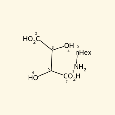 CCCCCCN.O=C(O)C(O)C(O)C(=O)O